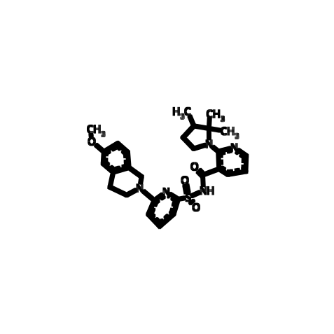 COc1ccc2c(c1)CCN(c1cccc(S(=O)(=O)NC(=O)c3cccnc3N3CCC(C)C3(C)C)n1)C2